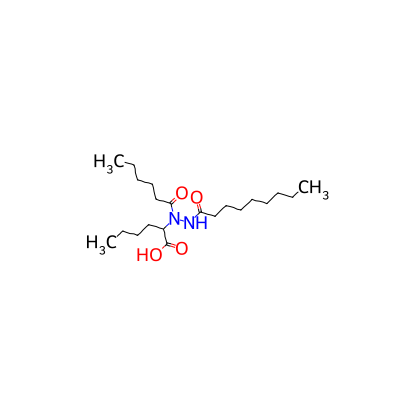 CCCCCCCCC(=O)NN(C(=O)CCCCC)C(CCCC)C(=O)O